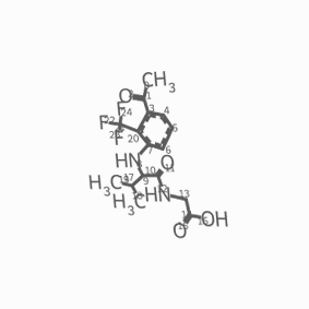 CC(=O)c1cccc(NC(C(=O)NCC(=O)O)C(C)C)c1C(F)(F)F